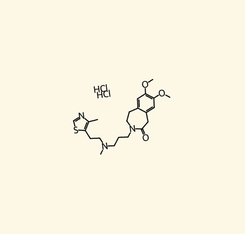 COc1cc2c(cc1OC)CC(=O)N(CCCN(C)CCc1scnc1C)CC2.Cl.Cl